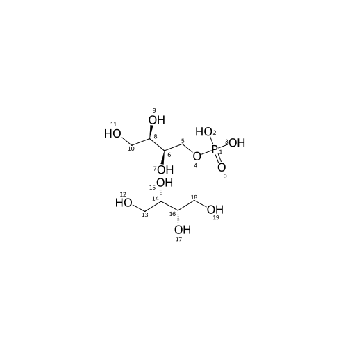 O=P(O)(O)OC[C@@H](O)[C@H](O)CO.OC[C@H](O)[C@@H](O)CO